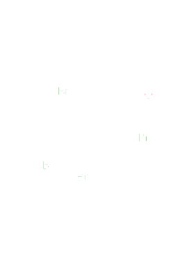 O=CC1C(Br)=CC(Br)(Br)C=C1Br